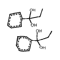 CCC(O)(O)c1ccccc1.CCC(O)(O)c1ccccc1